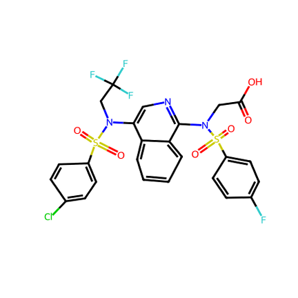 O=C(O)CN(c1ncc(N(CC(F)(F)F)S(=O)(=O)c2ccc(Cl)cc2)c2ccccc12)S(=O)(=O)c1ccc(F)cc1